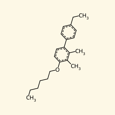 CCCCCCOc1ccc(-c2ccc(CC)cc2)c(C)c1C